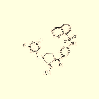 CC[C@H]1CN(Cc2cc(F)cc(F)c2)CCN1C(=O)c1ccc(NS(=O)(=O)c2cccc3cccnc23)cc1